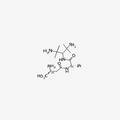 CC(C)[C@H](NC(=O)C[C@H](N)C(=O)O)C(=O)NC(C(C)(C)N)C(C)(C)N